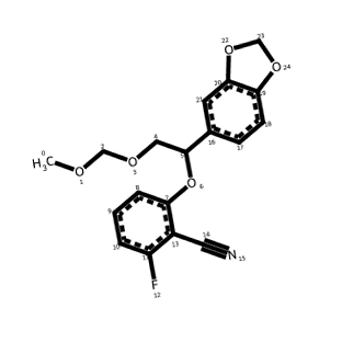 COCOCC(Oc1cccc(F)c1C#N)c1ccc2c(c1)OCO2